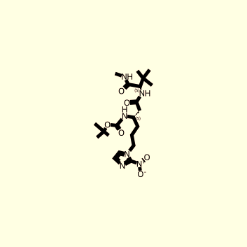 CNC(=O)[C@@H](NC(=O)C[C@H](CCCn1ccnc1[N+](=O)[O-])NC(=O)OC(C)(C)C)C(C)(C)C